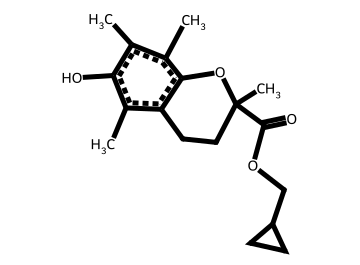 Cc1c(C)c2c(c(C)c1O)CCC(C)(C(=O)OCC1CC1)O2